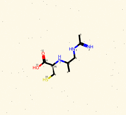 CC(=N)NCC(C)N[C@@H](CS)C(=O)O